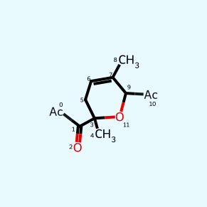 CC(=O)C(=O)C1(C)CC=C(C)C(C(C)=O)O1